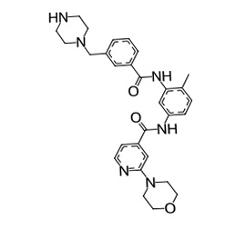 Cc1ccc(NC(=O)c2ccnc(N3CCOCC3)c2)cc1NC(=O)c1cccc(CN2CCNCC2)c1